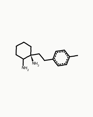 Cc1ccc(CC[C@@]2(N)CCCCC2N)cc1